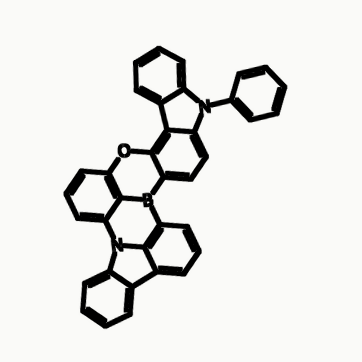 c1ccc(-n2c3ccccc3c3c4c(ccc32)B2c3c(cccc3-n3c5ccccc5c5cccc2c53)O4)cc1